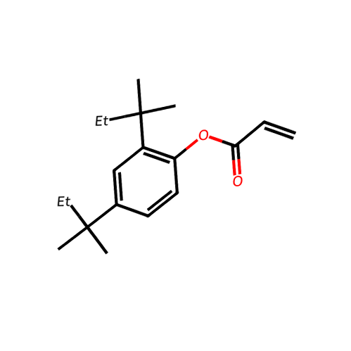 C=CC(=O)Oc1ccc(C(C)(C)CC)cc1C(C)(C)CC